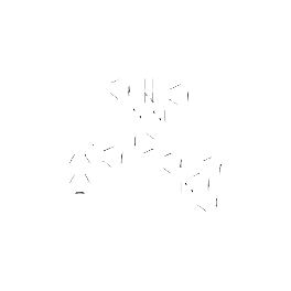 CC1(C)c2cc(-c3cc(-c4ccc(C5=c6ccccc6=C6C=CC=CC6N5)cc4)cc(C4NC(c5ccccc5)NC(c5ccccc5)N4)c3)ccc2-c2c1ccc1ccccc21